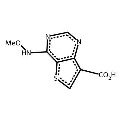 CONc1ncnc2c(C(=O)O)csc12